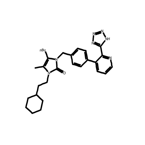 CCCCc1c(C)n(CCC2CCCCC2)c(=O)n1Cc1ccc(-c2cccnc2-c2nnn[nH]2)cc1